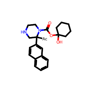 CC(=O)C1(c2ccc3ccccc3c2)CNCCN1C(=O)OC1(O)CCCCC1